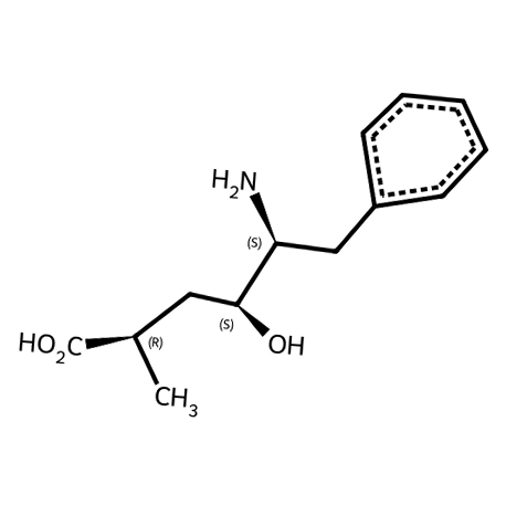 C[C@H](C[C@H](O)[C@@H](N)Cc1ccccc1)C(=O)O